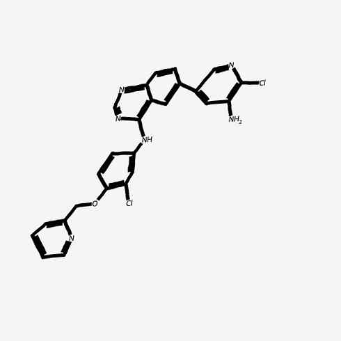 Nc1cc(-c2ccc3ncnc(Nc4ccc(OCc5ccccn5)c(Cl)c4)c3c2)cnc1Cl